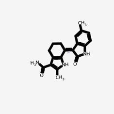 Cc1ccc2c(c1)/C(=C1\CCCc3c1[nH]c(C)c3C(N)=O)C(=O)N2